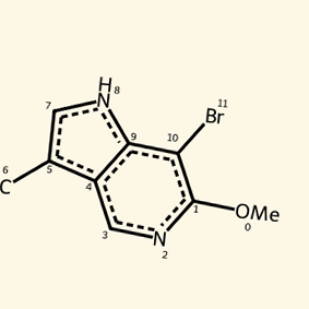 COc1ncc2c(C#N)c[nH]c2c1Br